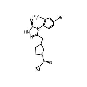 O=C(C1CC1)N1CCC(Cc2n[nH]c(=O)n2-c2ccc(Br)cc2C(F)(F)F)C1